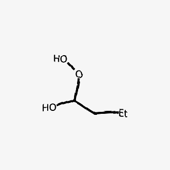 CCCC(O)OO